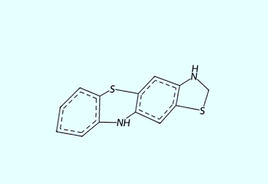 c1ccc2c(c1)Nc1cc3c(cc1S2)NCS3